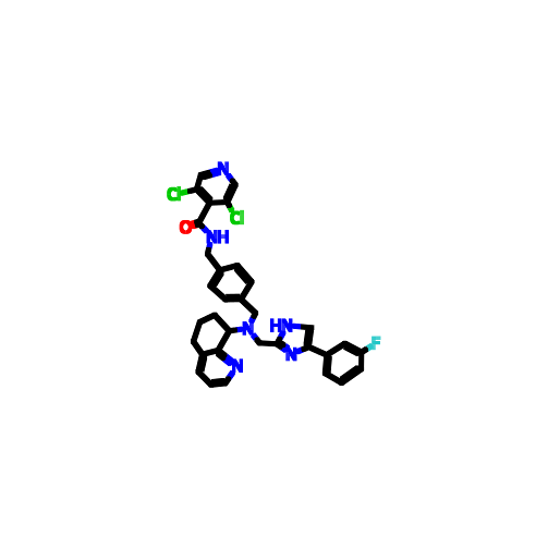 O=C(NCc1ccc(CN(Cc2nc(-c3cccc(F)c3)c[nH]2)C2CCCc3cccnc32)cc1)c1c(Cl)cncc1Cl